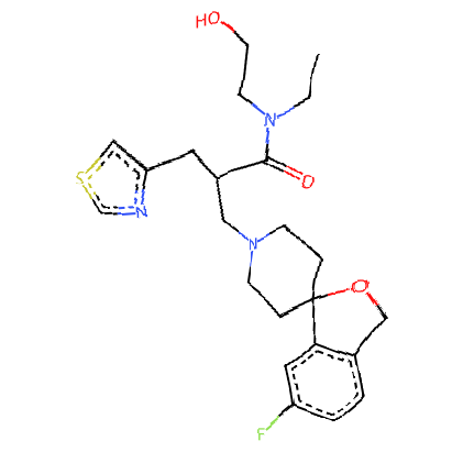 CCN(CCO)C(=O)C(Cc1cscn1)CN1CCC2(CC1)OCc1ccc(F)cc12